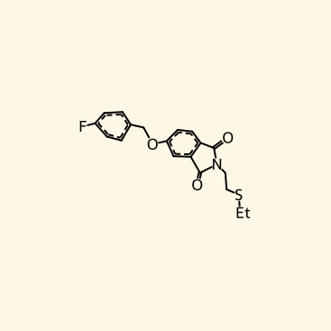 CCSCCN1C(=O)c2ccc(OCc3ccc(F)cc3)cc2C1=O